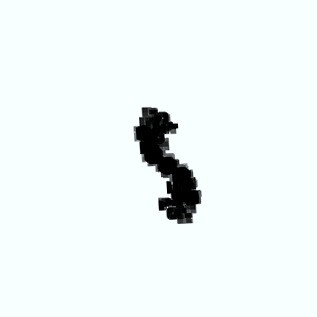 CCC(=O)N[C@H](C(=O)N1CCC[C@H]1c1nc2ccc(-c3ccc(-c4ccc5nc([C@@H]6CCCN6C(=O)[C@@H](NC(=O)CC)C(C)C)[nH]c5c4)cc3)cc2[nH]1)C(C)C